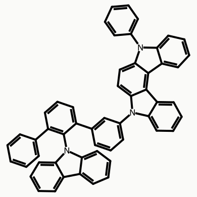 c1ccc(-c2cccc(-c3cccc(-n4c5ccccc5c5c6c7ccccc7n(-c7ccccc7)c6ccc54)c3)c2-n2c3ccccc3c3ccccc32)cc1